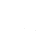 CCCCC(O)CCCC(O)CC